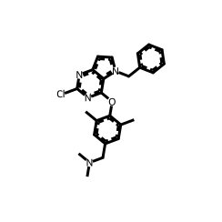 Cc1cc(CN(C)C)cc(C)c1Oc1nc(Cl)nc2ccn(Cc3ccccc3)c12